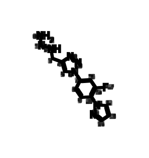 N[N]NCc1cn(-c2ccc(-n3cccn3)c(F)c2)nn1